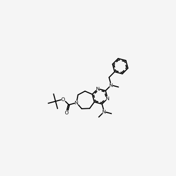 CN(C)c1nc(N(C)Cc2ccccc2)nc2c1CCN(C(=O)OC(C)(C)C)CC2